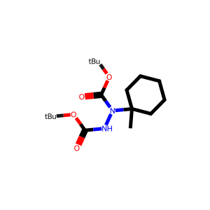 CC(C)(C)OC(=O)NN(C(=O)OC(C)(C)C)C1(C)CCCCC1